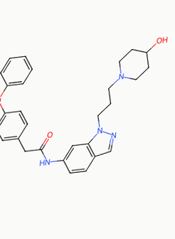 O=C(Cc1ccc(Oc2ccccc2)cc1)Nc1ccc2cnn(CCCN3CCC(O)CC3)c2c1